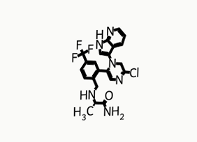 C[C@@H](NCc1ccc(C(F)(F)F)cc1C1=CN=C(Cl)CN1c1c[nH]c2ncccc12)C(N)=O